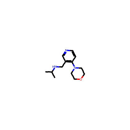 CC(C)NCc1cnccc1N1CCOCC1